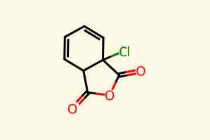 O=C1OC(=O)C2(Cl)C=CC=CC12